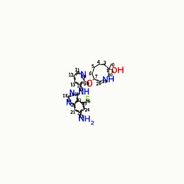 CC1(O)CCCCC(Oc2ncccc2Nc2ncnc3cc(N)cc(F)c23)CNC1